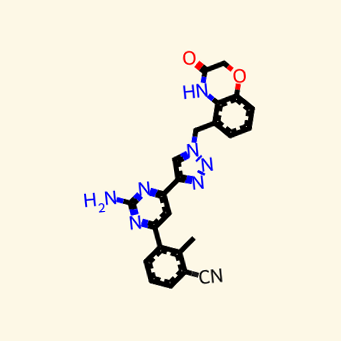 Cc1c(C#N)cccc1-c1cc(-c2cn(Cc3cccc4c3NC(=O)CO4)nn2)nc(N)n1